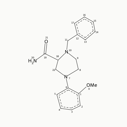 COc1ccccc1N1CCN(Cc2ccccc2)C(C(N)=O)C1